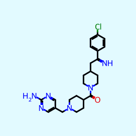 N=C(CC1CCN(C(=O)C2CCN(Cc3cnc(N)nc3)CC2)CC1)c1ccc(Cl)cc1